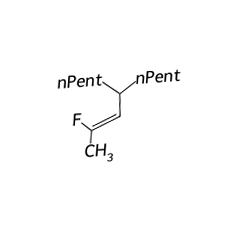 CCCCCC(C=C(C)F)CCCCC